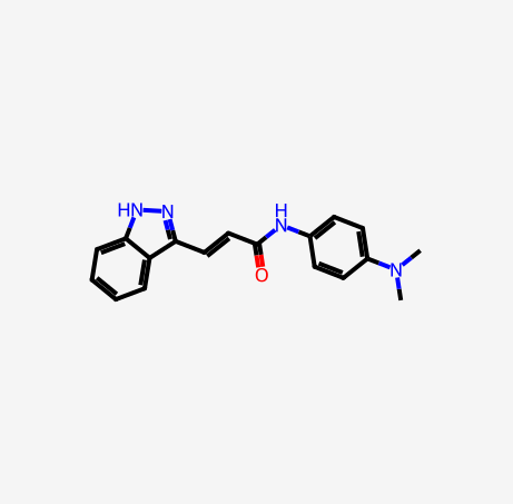 CN(C)c1ccc(NC(=O)C=Cc2n[nH]c3ccccc23)cc1